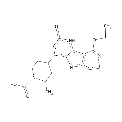 CCOc1cccc2nn3c(C4CCN(C(=O)O)C(C)C4)cc(=O)[nH]c3c12